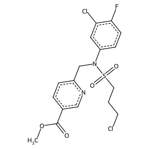 COC(=O)c1ccc(CN(c2ccc(F)c(Cl)c2)S(=O)(=O)CCCCl)nc1